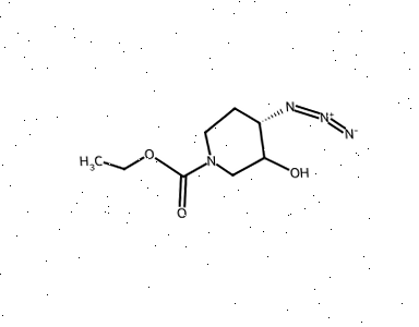 CCOC(=O)N1CC[C@H](N=[N+]=[N-])C(O)C1